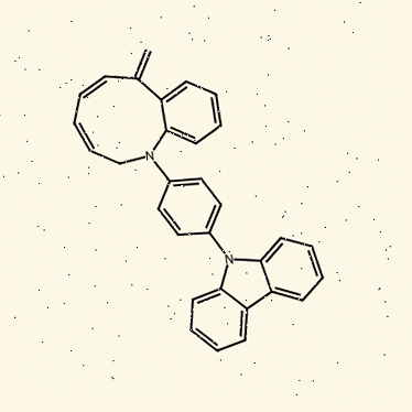 C=C1/C=C\C=C/CN(c2ccc(-n3c4ccccc4c4ccccc43)cc2)c2ccccc21